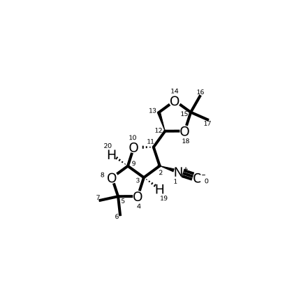 [C-]#[N+][C@H]1[C@H]2OC(C)(C)O[C@H]2O[C@@H]1[C@H]1COC(C)(C)O1